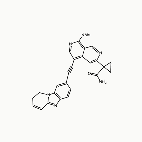 CNc1ncc(C#Cc2ccc3nc4n(c3c2)CCC=C4)c2cc(C3(C(N)=O)CC3)ncc12